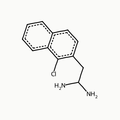 NC(N)Cc1ccc2ccccc2c1Cl